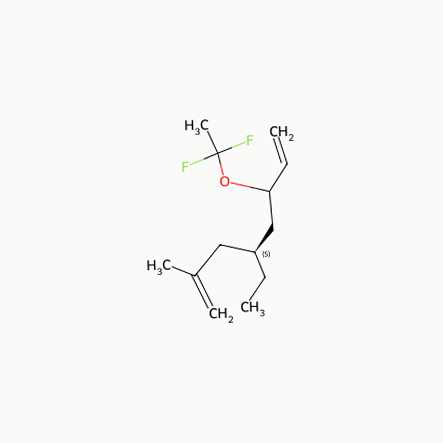 C=CC(C[C@@H](CC)CC(=C)C)OC(C)(F)F